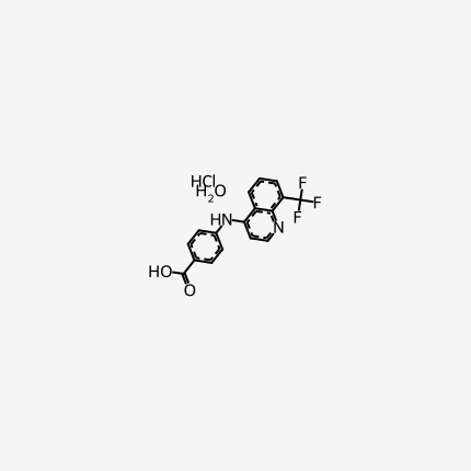 Cl.O.O=C(O)c1ccc(Nc2ccnc3c(C(F)(F)F)cccc23)cc1